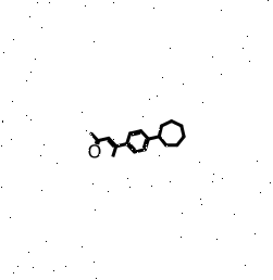 CC(=O)/C=C(\C)c1ccc(C2CCCCCC2)cc1